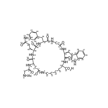 CC(=O)NCC(=O)NC1CC(=O)NCCCCC(C(=O)O)NC(=O)[C@H](Cc2c[nH]c3ccccc23)NC(=O)CNC(=O)C(Cc2ccccc2)NC(=O)[C@H](CCC(N)=O)NC1=O